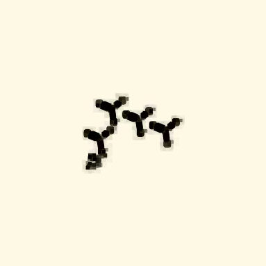 O=[N+]([O-])[O-].O=[N+]([O-])[O-].O=[N+]([O-])[O-].O=[N+]([O-])[O-].[Mg+2].[Zn+2]